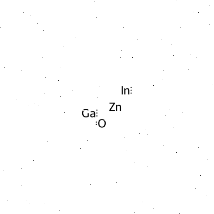 [Ga].[In].[O].[Zn]